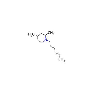 CCCCCCN1CCC(C)CC1C